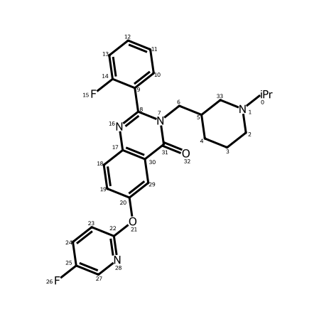 CC(C)N1CCCC(Cn2c(-c3ccccc3F)nc3ccc(Oc4ccc(F)cn4)cc3c2=O)C1